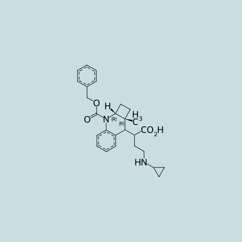 C[C@]12CC[C@H]1N(C(=O)OCc1ccccc1)c1ccccc1C2C(CCNC1CC1)C(=O)O